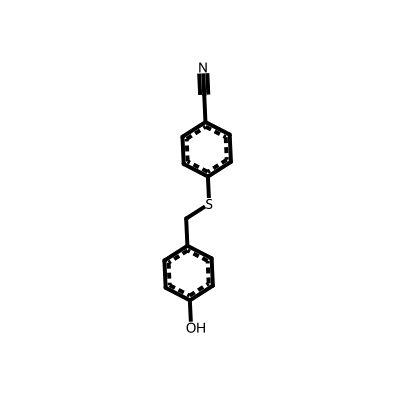 N#Cc1ccc(SCc2ccc(O)cc2)cc1